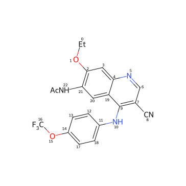 CCOc1cc2ncc(C#N)c(Nc3ccc(OC(F)(F)F)cc3)c2cc1NC(C)=O